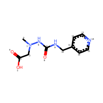 CN(CC(=O)O)NC(=O)NCc1ccncc1